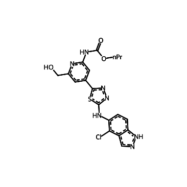 CCCOC(=O)Nc1cc(-c2nnc(Nc3ccc4[nH]ncc4c3Cl)s2)cc(CO)n1